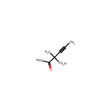 CC#CC(C)(C(=O)O)C(=O)OC